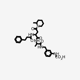 CC(NC(=O)C(CC(=O)N1CCCCC1C)NC(=O)CCc1ccccc1)C(=O)NCc1cccc(NC(=O)O)c1